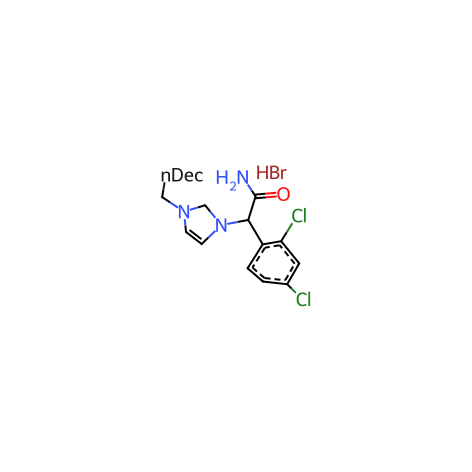 Br.CCCCCCCCCCCN1C=CN(C(C(N)=O)c2ccc(Cl)cc2Cl)C1